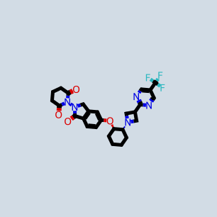 O=C1c2ccc(O[C@@H]3CCCC[C@H]3N3CC(c4ncc(C(F)(F)F)cn4)C3)cc2CN1N1C(=O)CCCC1=O